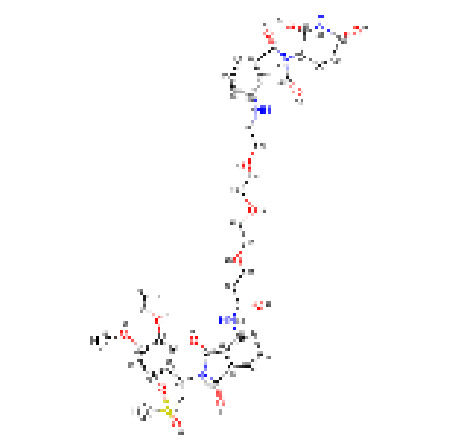 CCOc1cc(C(CS(C)(=O)=O)N2C(=O)c3cccc(NC(=O)CCOCCOCCOCCNc4cccc5c4C(=O)N(C4CCC(=O)NC4=O)C5=O)c3C2=O)ccc1OC